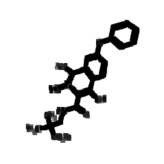 CCOC(=O)C(C)(C)CNC(=O)C1=C(O)c2ccc(Oc3ccccc3)cc2C(C#N)N1O